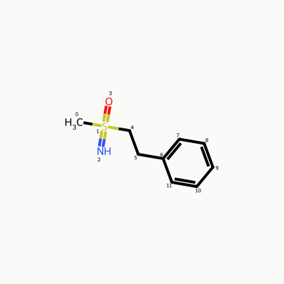 CS(=N)(=O)CCc1ccccc1